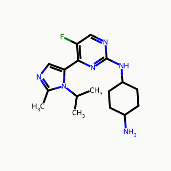 Cc1ncc(-c2nc(NC3CCC(N)CC3)ncc2F)n1C(C)C